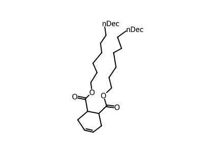 CCCCCCCCCCCCCCCCOC(=O)C1CC=CCC1C(=O)OCCCCCCCCCCCCCCCC